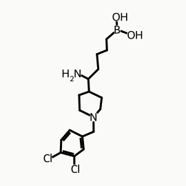 NC(CCCCB(O)O)C1CCN(Cc2ccc(Cl)c(Cl)c2)CC1